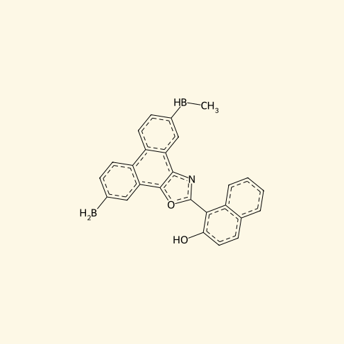 Bc1ccc2c3ccc(BC)cc3c3nc(-c4c(O)ccc5ccccc45)oc3c2c1